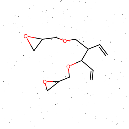 C=CC(COCC1CO1)C(C=C)OCC1CO1